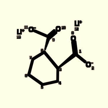 O=C([O-])[C@H]1CCCC[C@@H]1C(=O)[O-].[Li+].[Li+]